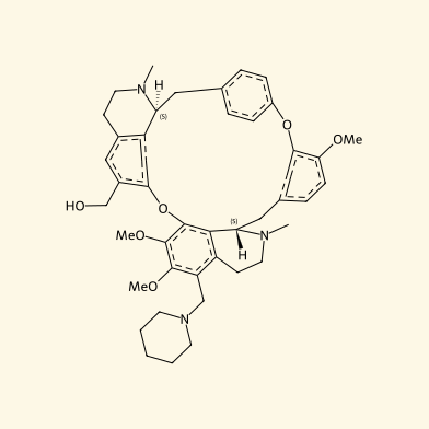 COc1ccc2cc1Oc1ccc(cc1)C[C@H]1c3cc(c(CO)cc3CCN1C)Oc1c(OC)c(OC)c(CN3CCCCC3)c3c1[C@H](C2)N(C)CC3